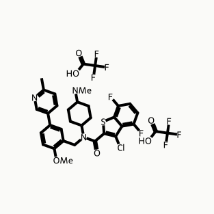 CNC1CCC(N(Cc2cc(-c3ccc(C)nc3)ccc2OC)C(=O)c2sc3c(F)ccc(F)c3c2Cl)CC1.O=C(O)C(F)(F)F.O=C(O)C(F)(F)F